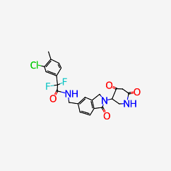 Cc1ccc(C(F)(F)C(=O)NCc2ccc3c(c2)CN(C2CNC(=O)CC2=O)C3=O)cc1Cl